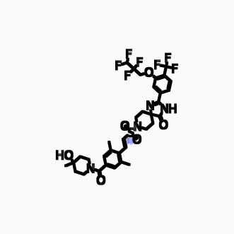 Cc1cc(C(=O)N2CCC(C)(O)CC2)cc(C)c1/C=C/S(=O)(=O)N1CCC2(CC1)N=C(c1ccc(C(F)(F)F)c(OCC(F)(F)C(F)F)c1)NC2=O